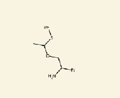 CCC(N)COC(C)SC(C)C